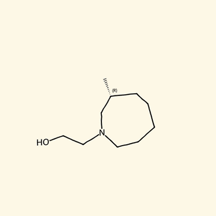 C[C@@H]1CCCCCN(CCO)C1